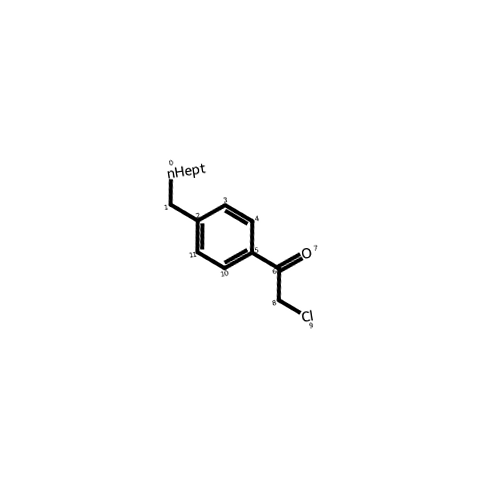 CCCCCCCCc1ccc(C(=O)CCl)cc1